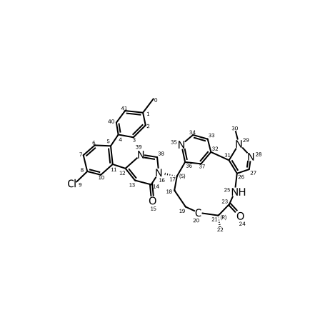 Cc1ccc(-c2ccc(Cl)cc2-c2cc(=O)n([C@H]3CCC[C@@H](C)C(=O)Nc4cnn(C)c4-c4ccnc3c4)cn2)cc1